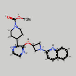 CC(C)(C)OC(=O)N1CCC(c2nccnc2OC2CN(c3ccc4ccccc4n3)C2)CC1